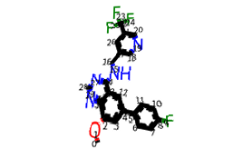 COc1cc(-c2ccc(F)cc2)cc2c(NCc3cncc(C(F)(F)F)c3)ncnc12